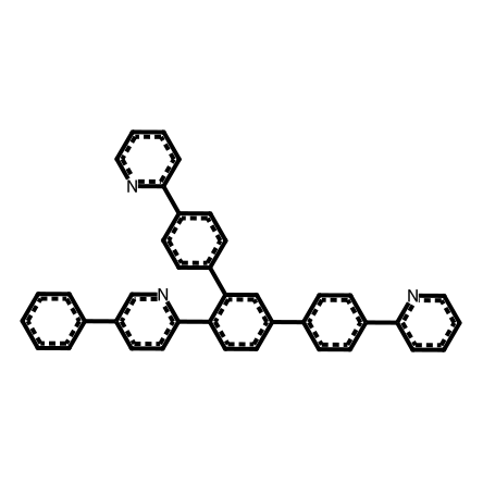 c1ccc(-c2ccc(-c3ccc(-c4ccc(-c5ccccn5)cc4)cc3-c3ccc(-c4ccccn4)cc3)nc2)cc1